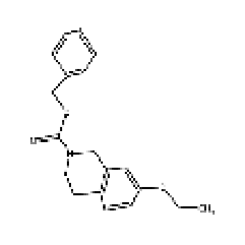 CCOc1ccc2c(c1)CN(C(=O)OCc1ccccc1)CC2